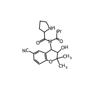 CC(C)C(=O)N(C(=O)C1CCCN1)C1c2cc(C#N)ccc2OC(C)(C)C1O